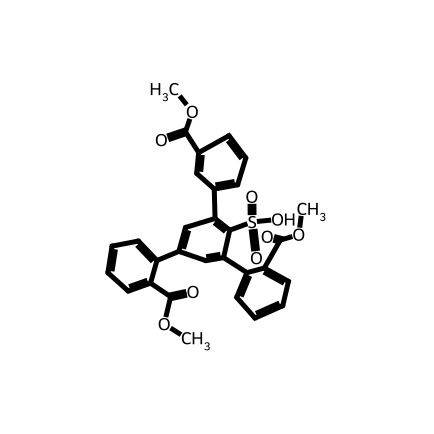 COC(=O)c1cccc(-c2cc(-c3ccccc3C(=O)OC)cc(-c3ccccc3C(=O)OC)c2S(=O)(=O)O)c1